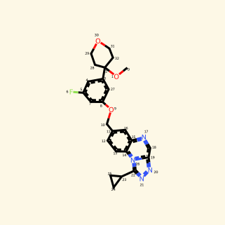 COC1(c2cc(F)cc(OCc3ccc4c(c3)ncc3nnc(C5CC5)n34)c2)CCOCC1